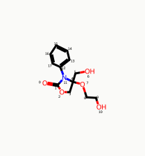 O=C1OCC(CO)(OCCO)N1c1ccccc1